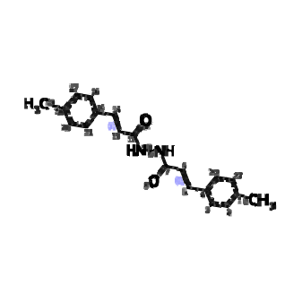 Cc1ccc(/C=C/C(=O)NNC(=O)/C=C/c2ccc(C)cc2)cc1